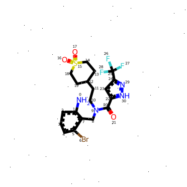 Nc1cccc(Br)c1CN(CCC1CCS(=O)(=O)CC1)C(=O)c1cc(C(F)(F)F)n[nH]1